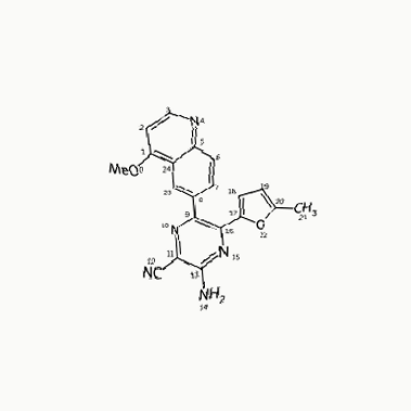 COc1ccnc2ccc(-c3nc(C#N)c(N)nc3-c3ccc(C)o3)cc12